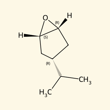 CC(C)[C@@H]1C[C@@H]2O[C@@H]2C1